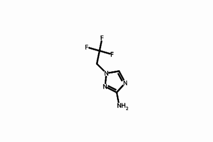 Nc1ncn(CC(F)(F)F)n1